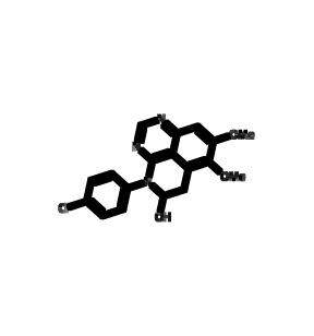 COc1cc2ncnc3c2c(c1OC)CC(O)N3c1ccc(Cl)cc1